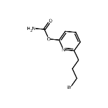 NC(=O)Oc1cccc(CCCBr)n1